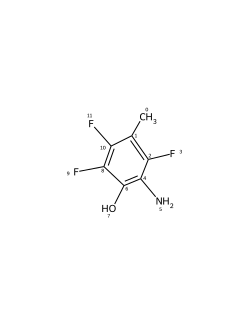 Cc1c(F)c(N)c(O)c(F)c1F